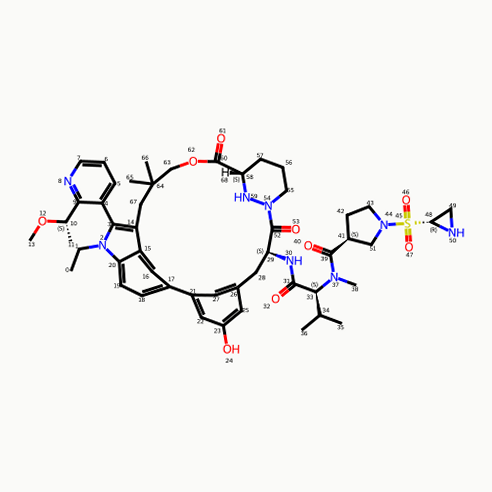 CCn1c(-c2cccnc2[C@H](C)OC)c2c3cc(ccc31)-c1cc(O)cc(c1)C[C@H](NC(=O)[C@H](C(C)C)N(C)C(=O)[C@H]1CCN(S(=O)(=O)[C@@H]3CN3)C1)C(=O)N1CCC[C@H](N1)C(=O)OCC(C)(C)C2